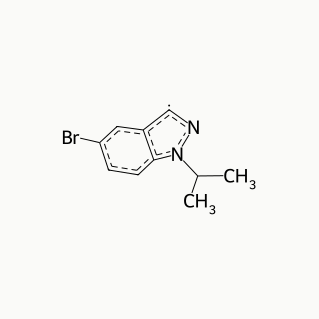 CC(C)n1n[c]c2cc(Br)ccc21